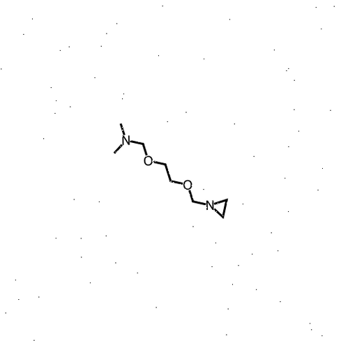 CN(C)COCCOCN1CC1